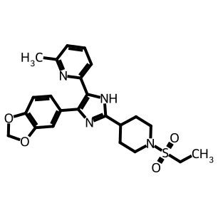 CCS(=O)(=O)N1CCC(c2nc(-c3ccc4c(c3)OCO4)c(-c3cccc(C)n3)[nH]2)CC1